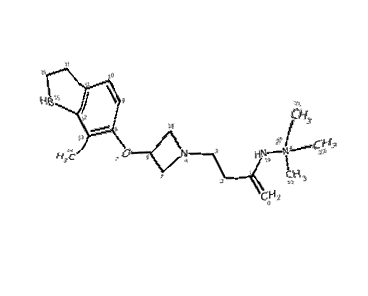 C=C(CCN1CC(Oc2ccc3c(c2C)BCC3)C1)N[N+](C)(C)C